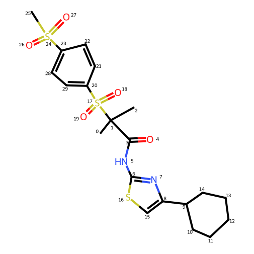 CC(C)(C(=O)Nc1nc(C2CCCCC2)cs1)S(=O)(=O)c1ccc(S(C)(=O)=O)cc1